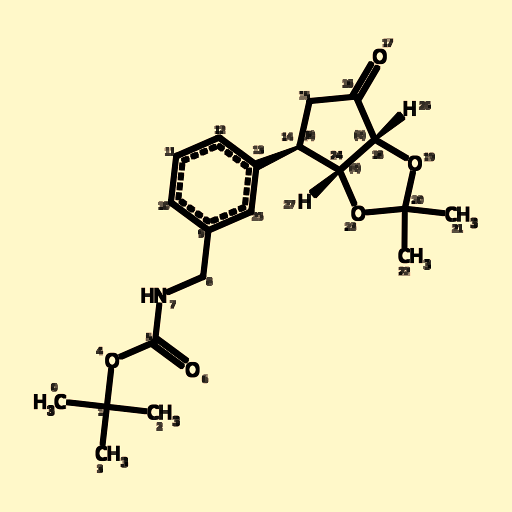 CC(C)(C)OC(=O)NCc1cccc([C@H]2CC(=O)[C@@H]3OC(C)(C)O[C@H]23)c1